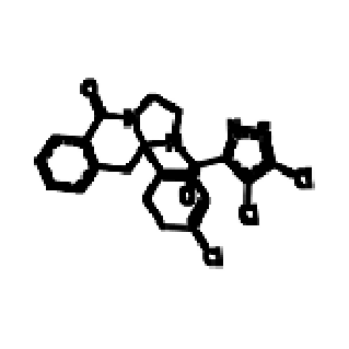 O=C1c2ccccc2CC2(C3=CC=C(Cl)CC3)N1CCN2C(=O)c1nsc(Cl)c1Cl